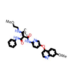 COCCN/C(C)=C(\C(=O)Nc1ccccc1)C(=O)Nc1ccc(Oc2ccnc3cc(OC)ccc23)cn1